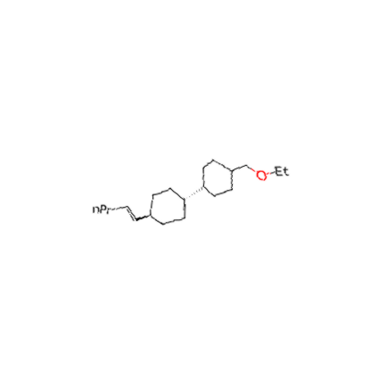 CCC/C=C/[C@H]1CC[C@H](C2CCC(COCC)CC2)CC1